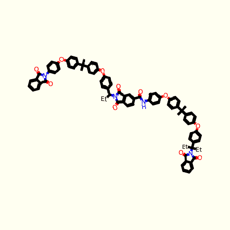 CCC(c1ccc(Oc2ccc(C(C)(C)c3ccc(Oc4ccc(N5C(=O)c6ccccc6C5=O)cc4)cc3)cc2)cc1)N1C(=O)c2ccc(C(=O)Nc3ccc(Oc4ccc(C(C)(C)c5ccc(Oc6ccc(C(CC)(CC)N7C(=O)c8ccccc8C7=O)cc6)cc5)cc4)cc3)cc2C1=O